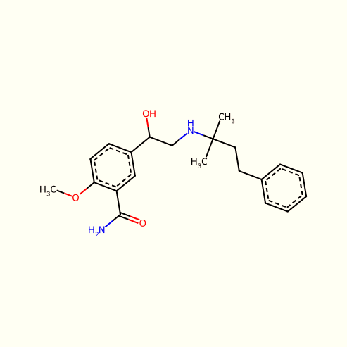 COc1ccc(C(O)CNC(C)(C)CCc2ccccc2)cc1C(N)=O